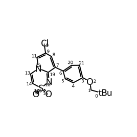 CC(C)(C)COc1ccc(C2=CC(Cl)=CN3C=CS(=O)(=O)N=C23)cc1